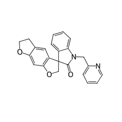 O=C1N(Cc2ccccn2)c2ccccc2C12COc1cc3c(cc12)CCO3